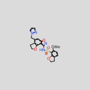 COc1ccc2c(c1S(=O)(=O)Nc1noc3cc(Cn4cccn4)c4c(c13)OCC4)OCC2